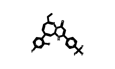 CCC1=NN2C(=O)C=C(c3ccc(C(F)(F)F)cc3)NC2C=C(c2ccc(F)cc2F)C=C1